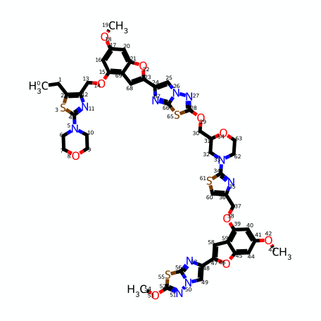 CCc1sc(N2CCOCC2)nc1COc1cc(OC)cc2oc(-c3cn4nc(OCC5CN(c6nc(COc7cc(OC)cc8oc(-c9cn%10nc(OC)sc%10n9)cc78)cs6)CCO5)sc4n3)cc12